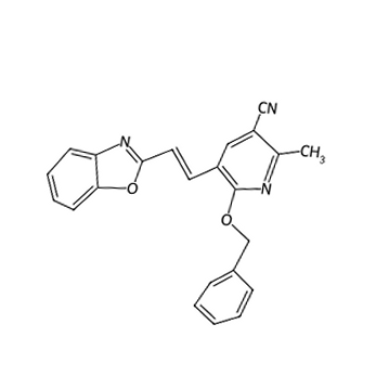 Cc1nc(OCc2ccccc2)c(C=Cc2nc3ccccc3o2)cc1C#N